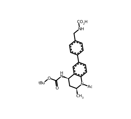 CC(=O)N1c2ccc(-c3ccc(CNC(=O)O)cc3)cc2[C@H](NC(=O)OC(C)(C)C)C[C@@H]1C